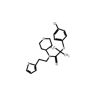 CC(C)(Oc1ccc(Cl)cc1)C(=O)N(CCc1cccs1)C1CCOCC1